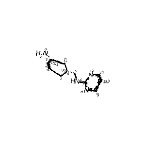 N[C@H]1CC[C@@H](CNc2ncccn2)C1